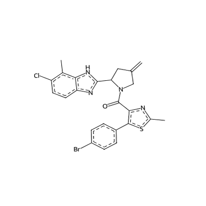 C=C1CC(c2nc3ccc(Cl)c(C)c3[nH]2)N(C(=O)c2nc(C)sc2-c2ccc(Br)cc2)C1